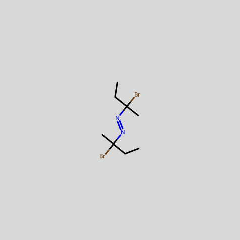 CCC(C)(Br)N=NC(C)(Br)CC